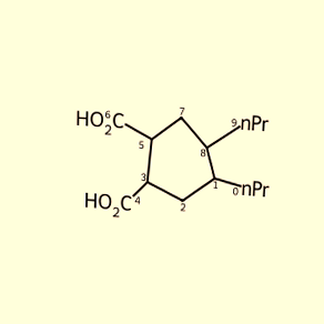 CCCC1CC(C(=O)O)C(C(=O)O)CC1CCC